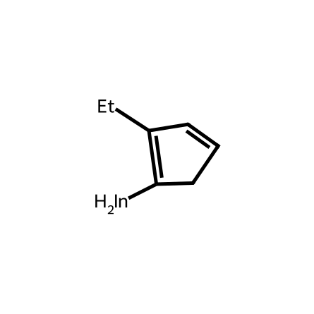 CCC1=[C]([InH2])CC=C1